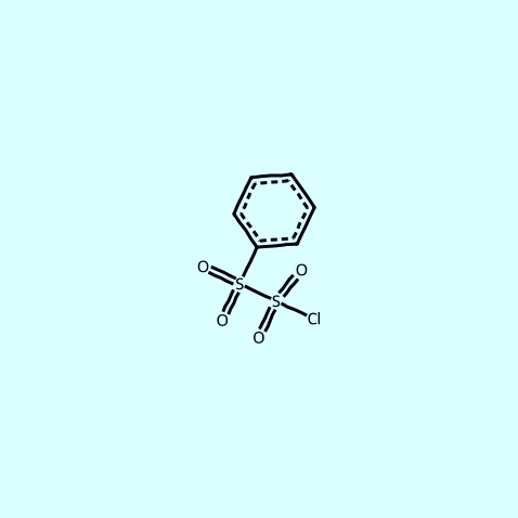 O=S(=O)(Cl)S(=O)(=O)c1ccccc1